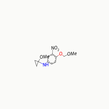 COCOc1ccc(NC2(OC)CC2)cc1[N+](=O)[O-]